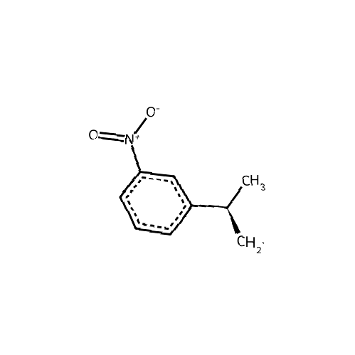 [CH2][C@H](C)c1cccc([N+](=O)[O-])c1